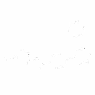 CC1CN(C#N)C[C@]1(C)NC(=O)c1ccc(-c2cnccc2Oc2ccccc2)cc1